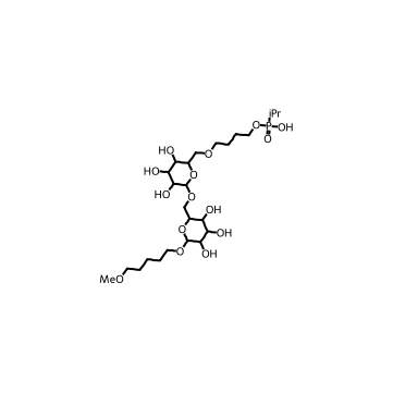 COCCCCCOC1OC(COC2OC(COCCCCOP(=O)(O)C(C)C)C(O)C(O)C2O)C(O)C(O)C1O